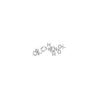 CC(C)(C)OC(=O)N1C[C@@H]2C[C@H]1CN2c1cccc(Cn2cccn2)c1